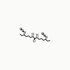 CCC(CCCNC(=O)NCCCC(CC)N=C=O)N=C=O